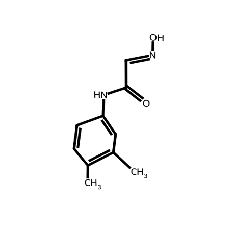 Cc1ccc(NC(=O)C=NO)cc1C